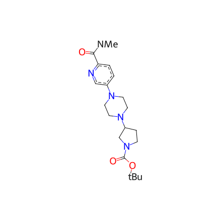 CNC(=O)c1ccc(N2CCN(C3CCN(C(=O)OC(C)(C)C)C3)CC2)cn1